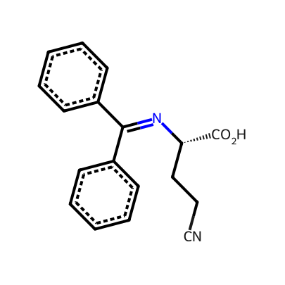 N#CCC[C@H](N=C(c1ccccc1)c1ccccc1)C(=O)O